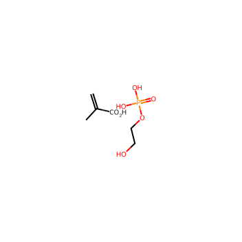 C=C(C)C(=O)O.O=P(O)(O)OCCO